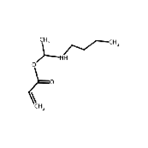 C=CC(=O)OC(C)NCCCC